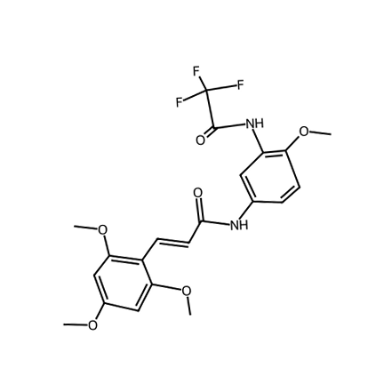 COc1cc(OC)c(/C=C/C(=O)Nc2ccc(OC)c(NC(=O)C(F)(F)F)c2)c(OC)c1